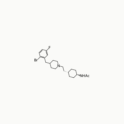 CC(=O)N[C@H]1CC[C@H](CCN2CCC(Cc3cc(F)ccc3Br)CC2)CC1